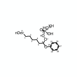 CCCCCCCCCCCCCCCC(OOP(=O)(O)O)Oc1ccccc1.[KH]